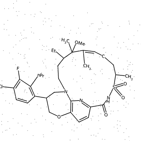 CCCc1c(C2COc3ccc4nc3N(CCC(CC)C(C)(OC)/C(C)=C/CCC(C)S(=O)(=O)NC4=O)C2)ccc(Cl)c1F